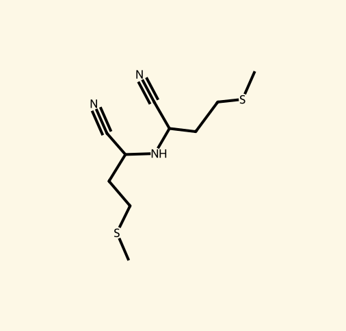 CSCCC(C#N)NC(C#N)CCSC